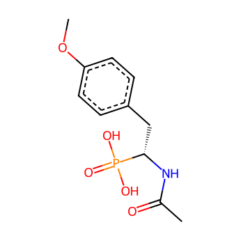 COc1ccc(C[C@H](NC(C)=O)P(=O)(O)O)cc1